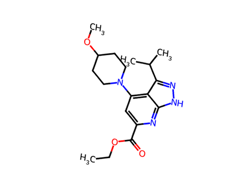 CCOC(=O)c1cc(N2CCC(OC)CC2)c2c(C(C)C)n[nH]c2n1